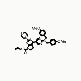 C=CCOC(=O)N1CCc2c(-c3cnc(N(Cc4ccc(OC)cc4)Cc4ccc(OC)cc4)nc3)nc(N3CCOCC3)nc21